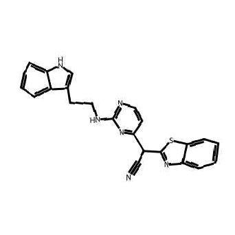 N#CC(c1ccnc(NCCc2c[nH]c3ccccc23)n1)c1nc2ccccc2s1